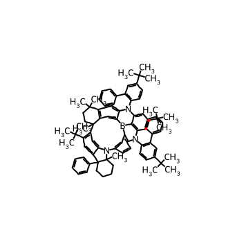 CC(C)(C)c1ccc(N2c3ccc4cc3B3c5cc6c(cc5N(c5ccc(C(C)(C)C)cc5-c5ccccc5)c5cc(C(C)(C)C)cc2c53)C(C)(C)CCC6(C)c2cc3c(cc2C(C)(C)C)C2(c5ccccc5)CCCCC2(C)N43)c(-c2ccccc2)c1